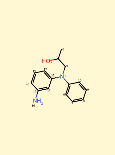 CC(O)CN(c1ccccc1)c1cccc(N)c1